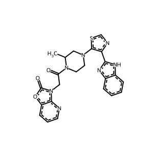 CC1CN(c2scnc2-c2nc3ccccc3[nH]2)CCN1C(=O)Cn1c(=O)oc2cccnc21